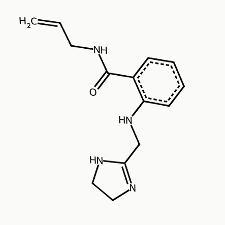 C=CCNC(=O)c1ccccc1NCC1=NCCN1